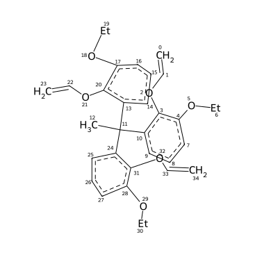 C=COc1c(OCC)cccc1C(C)(c1cccc(OCC)c1OC=C)c1cccc(OCC)c1OC=C